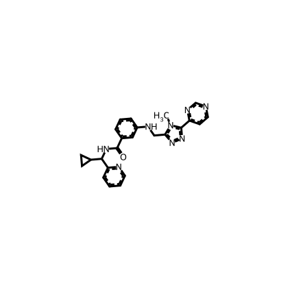 Cn1c(CNc2cccc(C(=O)NC(c3ccccn3)C3CC3)c2)nnc1-c1ccncn1